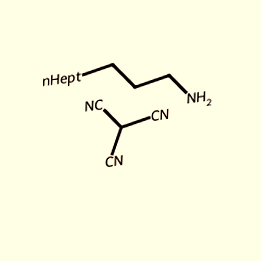 CCCCCCCCCCN.N#CC(C#N)C#N